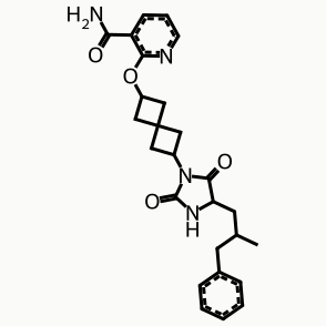 CC(Cc1ccccc1)CC1NC(=O)N(C2CC3(CC(Oc4ncccc4C(N)=O)C3)C2)C1=O